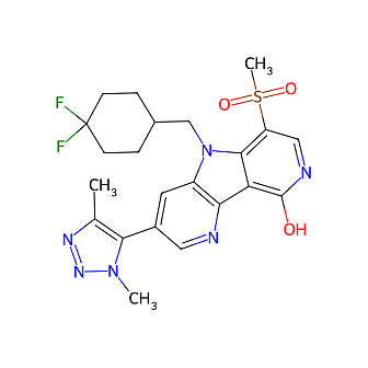 Cc1nnn(C)c1-c1cnc2c3c(O)ncc(S(C)(=O)=O)c3n(CC3CCC(F)(F)CC3)c2c1